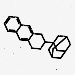 [CH]1c2cc3ccccc3cc2CCC1C12CC3CC(CC(C3)C1)C2